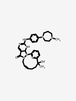 CN1CCCN(c2ccc(NC3=NC=C4C(=O)N5C/C=C\CCC(C)(O)c6cccc(n6)N5C4N3)cc2)CC1